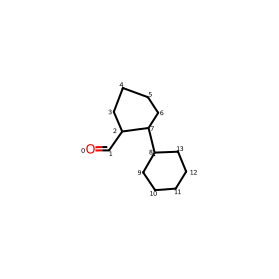 O=CC1CCCCC1[C]1CCCCC1